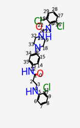 O=C(CCNc1ccccc1Cl)Nc1ccc(N2CCN(C(=O)Nc3c(Cl)cccc3Cl)CC2)cc1